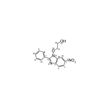 O=[N+]([O-])c1ccc2nc(-c3ccccc3)n(OCCO)c2c1